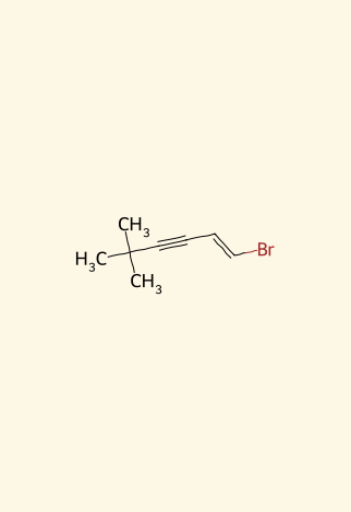 CC(C)(C)C#CC=CBr